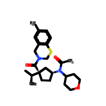 CC(=O)O[C@@H](C)[C@]1(C(=O)N2CSc3ccc(C(F)(F)F)cc3C2)CC[C@@H](N(C(=O)C(F)(F)F)C2CCOCC2)C1